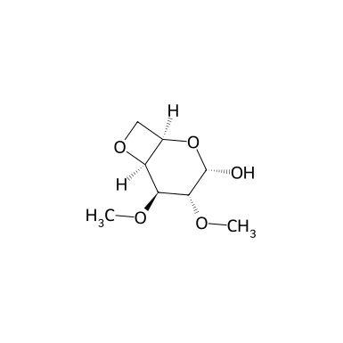 CO[C@@H]1[C@@H](OC)[C@@H](O)O[C@@H]2CO[C@H]12